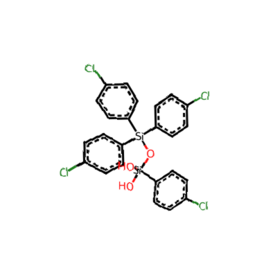 O[Si](O)(O[Si](c1ccc(Cl)cc1)(c1ccc(Cl)cc1)c1ccc(Cl)cc1)c1ccc(Cl)cc1